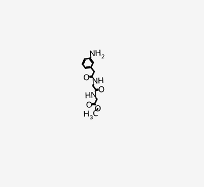 COC(=O)CNC(=O)CNC(=O)Cc1cccc(N)c1